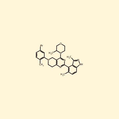 Cc1ccc(C(C)C)cc1N1CCc2nc(-c3c(C)ccc4[nH]nc(C)c34)nc(N3CCOCC3C)c2C1